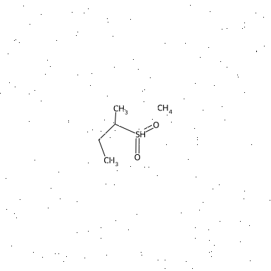 C.CCC(C)[SH](=O)=O